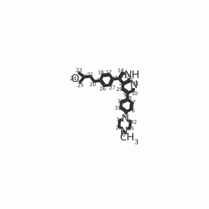 CN1CCN(c2ccc(-c3cnc4[nH]cc(-c5ccc(CCC6COC6)cc5)c4c3)cc2)CC1